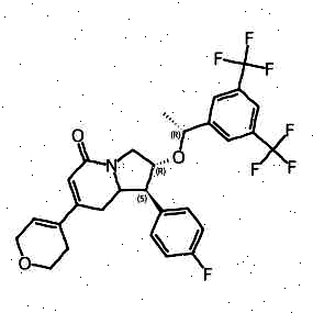 C[C@@H](O[C@H]1CN2C(=O)C=C(C3=CCOCC3)CC2[C@@H]1c1ccc(F)cc1)c1cc(C(F)(F)F)cc(C(F)(F)F)c1